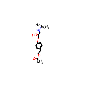 CC(=O)OCCc1ccc(OCC(O)CNC(C)C)cc1